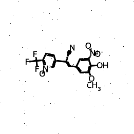 COc1cc(C=C(C#N)c2ccc(C(F)(F)F)[n+]([O-])c2)cc([N+](=O)[O-])c1O